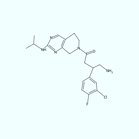 CC(C)Nc1ncc2c(n1)CN(C(=O)CC(CN)c1ccc(F)c(Cl)c1)CC2